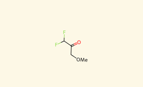 COCC(=O)C(F)F